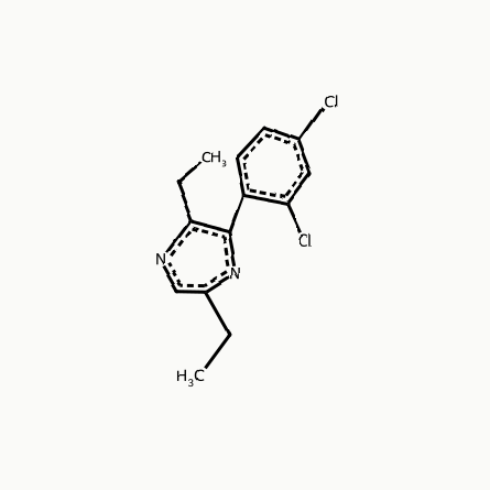 CCc1cnc(CC)c(-c2ccc(Cl)cc2Cl)n1